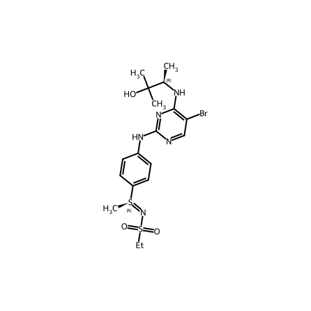 CCS(=O)(=O)N=[S@@](C)c1ccc(Nc2ncc(Br)c(N[C@H](C)C(C)(C)O)n2)cc1